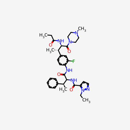 CCC(=O)N[C@@H](C(=O)N1CCN(C)CC1)[C@@H](C)c1ccc(NC(=O)C(NC(=O)c2ccnn2CC)[C@@H](C)c2ccccc2)c(F)c1